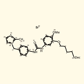 CCCCCCCCCCCCCCOc1cc(NC(=O)Nc2ccc(C[n+]3ccsc3C)cc2)ccc1OC.[Br-]